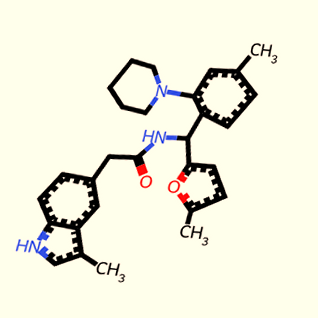 Cc1ccc(C(NC(=O)Cc2ccc3[nH]cc(C)c3c2)c2ccc(C)o2)c(N2CCCCC2)c1